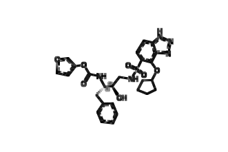 O=C(N[C@@H](Cc1ccccc1)[C@H](O)CNS(=O)(=O)c1ccc2[nH]nnc2c1OC1CCCC1)Oc1ccoc1